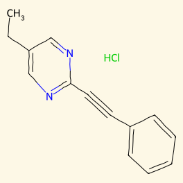 CCc1cnc(C#Cc2ccccc2)nc1.Cl